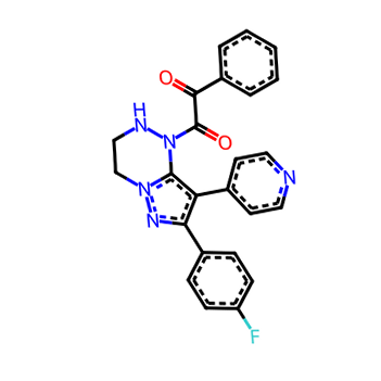 O=C(C(=O)N1NCCn2nc(-c3ccc(F)cc3)c(-c3ccncc3)c21)c1ccccc1